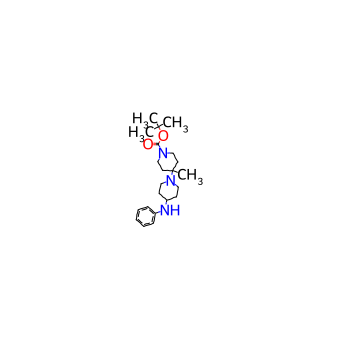 CC(C)(C)OC(=O)N1CCC(C)(N2CCC(Nc3ccccc3)CC2)CC1